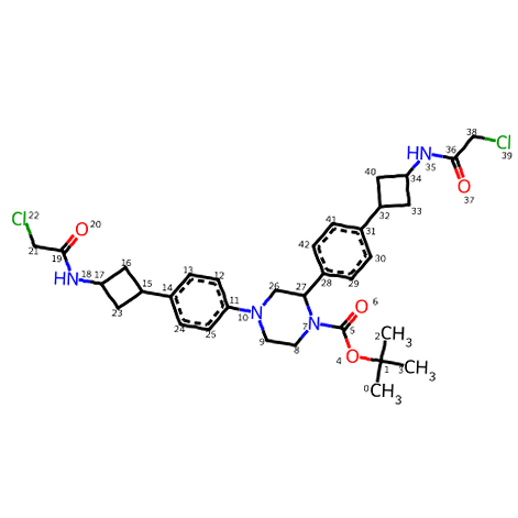 CC(C)(C)OC(=O)N1CCN(c2ccc(C3CC(NC(=O)CCl)C3)cc2)CC1c1ccc(C2CC(NC(=O)CCl)C2)cc1